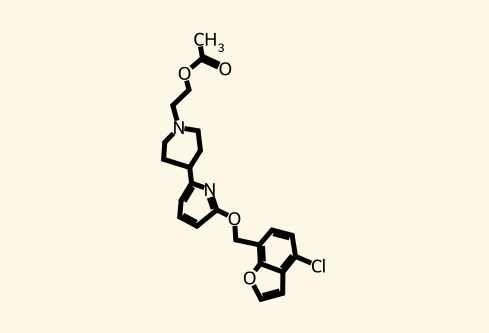 CC(=O)OCCN1CCC(c2cccc(OCc3ccc(Cl)c4ccoc34)n2)CC1